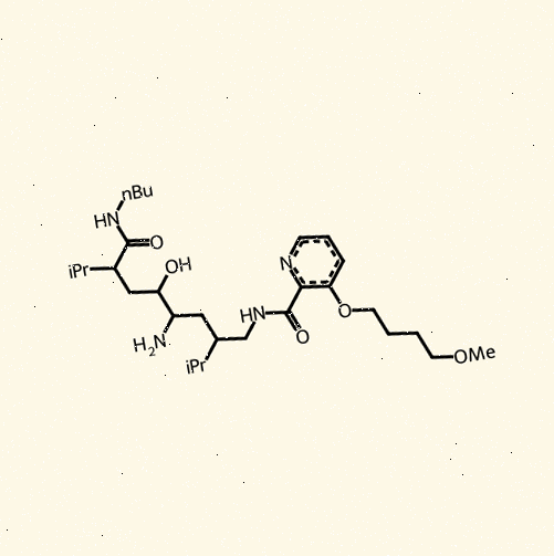 CCCCNC(=O)C(CC(O)C(N)CC(CNC(=O)c1ncccc1OCCCCOC)C(C)C)C(C)C